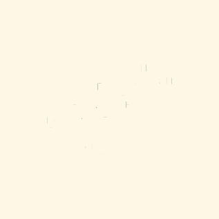 C=CC(=C)C(F)(F)C(F)(F)C(F)(F)C(F)(F)C(=C)C=C